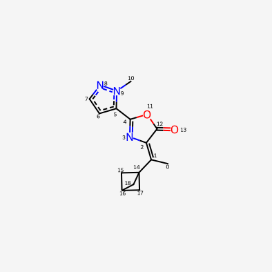 CC(=C1N=C(c2ccnn2C)OC1=O)C12CC(C1)C2